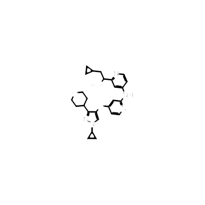 OC(CC1CC1)c1cc(Nc2cc(Oc3cn(C4CC4)nc3C3CCOCC3)ccn2)ccn1